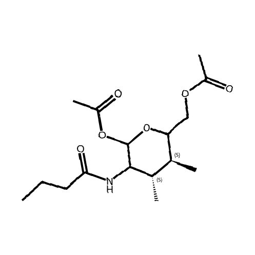 CCCC(=O)NC1C(OC(C)=O)OC(COC(C)=O)[C@@H](C)[C@@H]1C